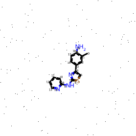 Cc1cc(-c2csc(Nc3ccccn3)n2)ccc1N